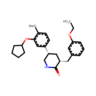 COc1ccc([C@H]2CNC(=O)[C@@H](Cc3cccc(OCC(=O)O)c3)C2)cc1OC1CCCC1